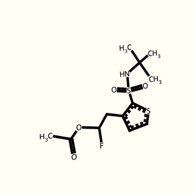 CC(=O)OC(F)Cc1ccsc1S(=O)(=O)NC(C)(C)C